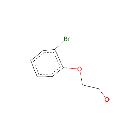 [O]CCOc1ccccc1Br